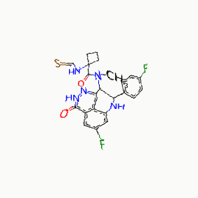 CN(C(=O)C1(NC=S)CCC1)C1c2n[nH]c(=O)c3cc(F)cc(c23)NC1c1ccc(F)cc1